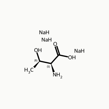 C[C@@H](O)[C@H](N)C(=O)O.[NaH].[NaH].[NaH]